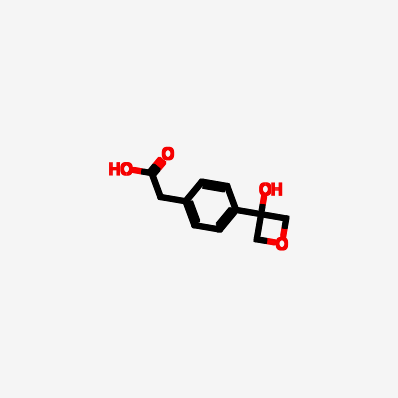 O=C(O)Cc1ccc(C2(O)COC2)cc1